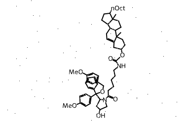 CCCCCCCCC1CCC2C3CC=C4CC(OC(=O)NCCCCCC(=O)N5CC(O)CC5C(OCc5ccc(OC)cc5)(c5ccccc5)c5ccc(OC)cc5)CCC4(C)C3CCC12C